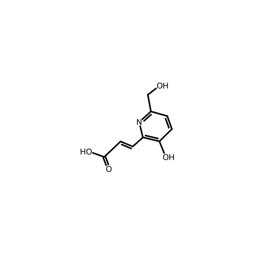 O=C(O)C=Cc1nc(CO)ccc1O